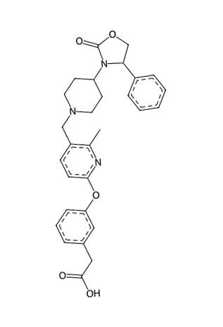 Cc1nc(Oc2cccc(CC(=O)O)c2)ccc1CN1CCC(N2C(=O)OCC2c2ccccc2)CC1